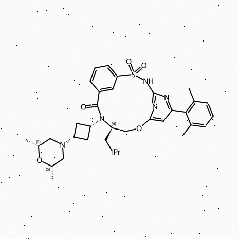 Cc1cccc(C)c1-c1cc2nc(n1)NS(=O)(=O)c1cccc(c1)C(=O)N([C@H]1C[C@@H](N3C[C@@H](C)O[C@@H](C)C3)C1)[C@H](CC(C)C)CO2